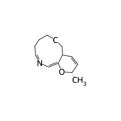 C[C@H]1C=CC2CCCCC/C=N\C=C/2O1